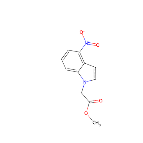 COC(=O)Cn1ccc2c([N+](=O)[O-])cccc21